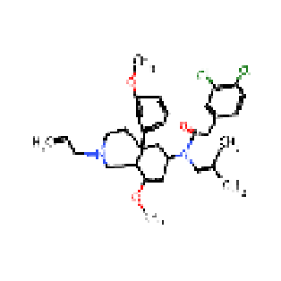 C=CCN1CCC2(c3cccc(OC)c3)CC(N(CC(C)C)C(=O)Cc3ccc(Cl)c(Cl)c3)CC(OC)C2C1